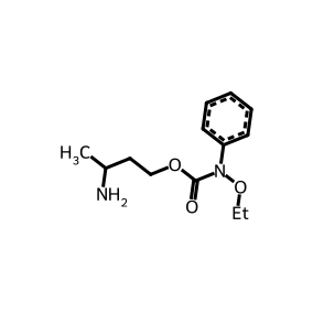 CCON(C(=O)OCCC(C)N)c1ccccc1